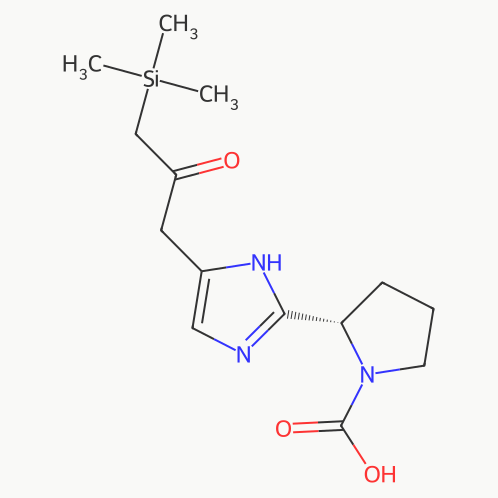 C[Si](C)(C)CC(=O)Cc1cnc([C@@H]2CCCN2C(=O)O)[nH]1